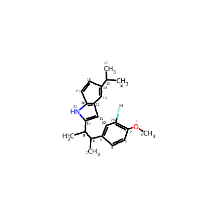 COc1ccc(C(C)C(C)c2cc3cc(C(C)C)ccc3[nH]2)cc1F